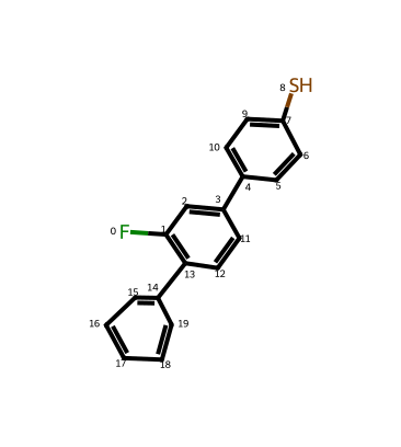 Fc1cc(-c2ccc(S)cc2)ccc1-c1ccccc1